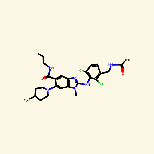 Cn1c(Nc2c(Cl)ccc(CNC(=O)C(C)(C)C)c2Cl)nc2cc(C(=O)NCCC(F)(F)F)c(N3CCC(C(F)(F)F)CC3)cc21